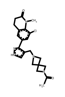 CC(=O)N1CC2(CN(Cc3c[nH]nc3-c3cc(Cl)c4c(c3)CCC(=O)N4C)C2)C1